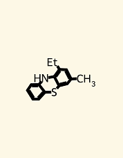 CCc1cc(C)cc2c1Nc1ccccc1S2